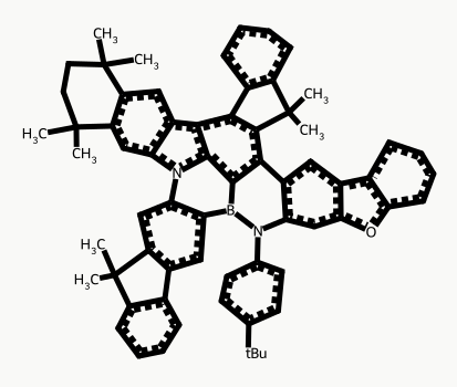 CC(C)(C)c1ccc(N2B3c4cc5c(cc4-n4c6cc7c(cc6c6c8c(c(c3c64)-c3cc4c(cc32)oc2ccccc24)C(C)(C)c2ccccc2-8)C(C)(C)CCC7(C)C)C(C)(C)c2ccccc2-5)cc1